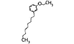 CCCCCCCCCc1cccc(OCC)c1